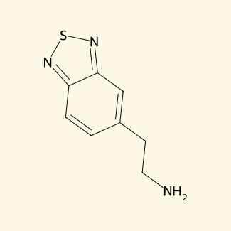 NCCc1ccc2nsnc2c1